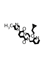 Cc1cn(-c2ccc3n(c2=O)CCN(Cc2cccnc2OCCC2CC2)C3=O)cn1